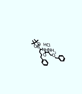 CC1(C)OB(C(CCCc2ccccc2)NC(=O)C(N)COCc2ccccc2)OC1(C)C.Cl